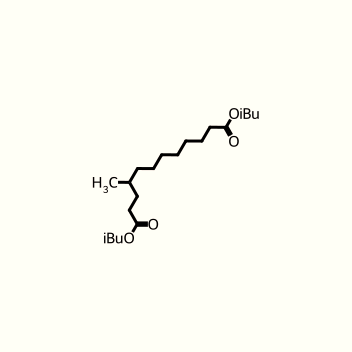 CC(C)COC(=O)CCCCCCCC(C)CCC(=O)OCC(C)C